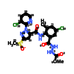 COC(=O)NNC(=O)c1cc(Cl)cc(C)c1NC(=O)c1cc([S+](C)[O-])nn1-c1ncccc1Cl